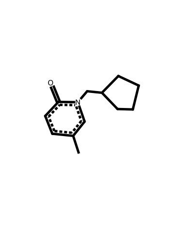 Cc1ccc(=O)n(CC2CCCC2)c1